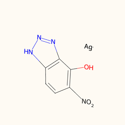 O=[N+]([O-])c1ccc2[nH]nnc2c1O.[Ag]